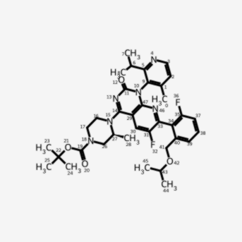 Cc1ccnc(C(C)C)c1-n1c(=O)nc(N2CCN(C(=O)OC(C)(C)C)C[C@@H]2C)c2cc(F)c(-c3c(F)cccc3COC(C)C)nc21